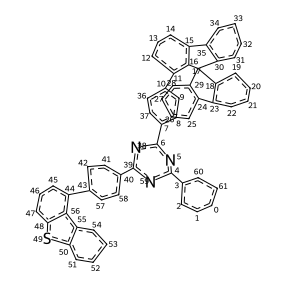 c1ccc(-c2nc(-c3ccc(-c4cccc5c4C4(c6ccccc6-c6ccccc64)c4ccccc4-5)cc3)nc(-c3ccc(-c4cccc5sc6ccccc6c45)cc3)n2)cc1